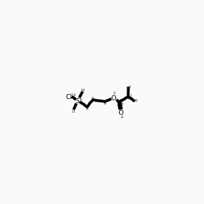 CC(C)C(=O)OCCCS(C)(C)Cl